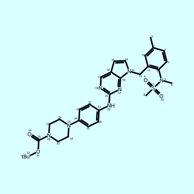 Cc1ccc(N(C)S(C)(=O)=O)c(Cn2ccc3cnc(Nc4ccc(N5CCN(C(=O)OC(C)(C)C)CC5)cc4)nc32)c1